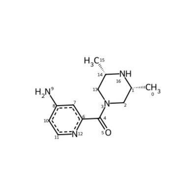 C[C@@H]1CN(C(=O)c2cc(N)ccn2)C[C@H](C)N1